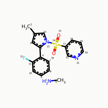 CN.Cc1cc(-c2ccccc2F)n(S(=O)(=O)c2cccnc2)c1